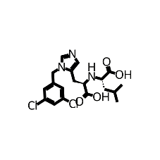 CC(C)C[C@H](N[C@H](Cc1cncn1Cc1cc(Cl)cc(Cl)c1)C(=O)O)C(=O)O